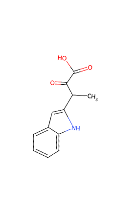 CC(C(=O)C(=O)O)c1cc2ccccc2[nH]1